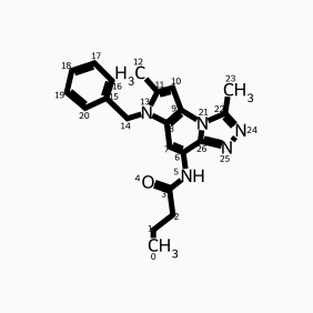 CCCC(=O)Nc1cc2c(cc(C)n2Cc2ccccc2)n2c(C)nnc12